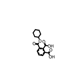 O=C(O)c1cccc(C(=O)OC2CCCCC2)c1C(=O)O